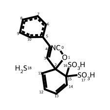 N#COC1(C=Cc2ccccc2)C=CC=CC1(S(=O)(=O)O)S(=O)(=O)O.S